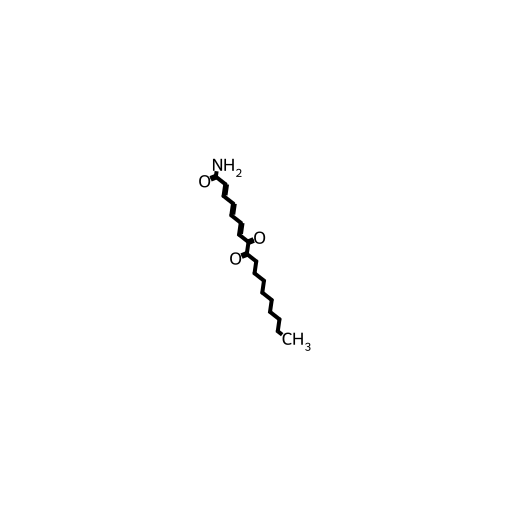 CCCCCCCCCC(=O)C(=O)C=CC=CC=CC(N)=O